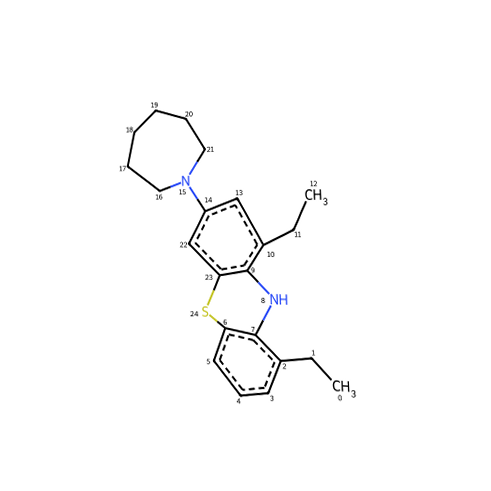 CCc1cccc2c1Nc1c(CC)cc(N3CCCCCC3)cc1S2